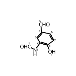 O=CNc1cc(C=O)ccc1O